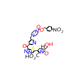 C[C@@H](O)[C@H]1C(=O)N2C(C(=O)O)=C(c3cn4cnc(C(=O)c5cncc(CN6CCN(C(=O)OCc7ccc([N+](=O)[O-])cc7)CC6)c5)c4s3)[C@H](C)[C@H]12